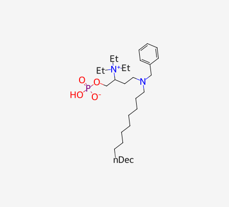 CCCCCCCCCCCCCCCCCCN(CCC(COP(=O)([O-])O)[N+](CC)(CC)CC)Cc1ccccc1